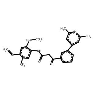 C=Cc1cc(NC(=O)O)c(NC(=O)CC(=O)c2cccc(-c3cc(C)nc(C)c3)c2)cc1C(F)(F)F